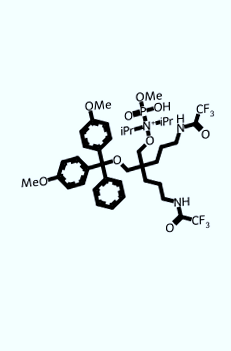 COc1ccc(C(OCC(CCCNC(=O)C(F)(F)F)(CCCNC(=O)C(F)(F)F)CO[N+](C(C)C)(C(C)C)P(=O)(O)OC)(c2ccccc2)c2ccc(OC)cc2)cc1